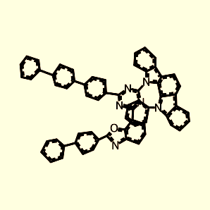 c1ccc(-c2ccc(-c3ccc(-c4nc(-c5cccc6nc(-c7ccc(-c8ccccc8)cc7)oc56)nc(-n5c6ccccc6c6ccc7c8ccccc8n(-c8ccccc8)c7c65)n4)cc3)cc2)cc1